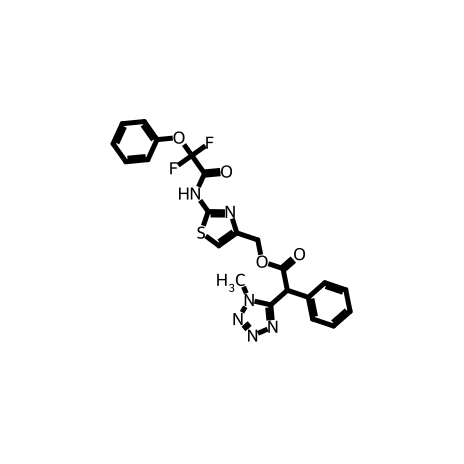 Cn1nnnc1C(C(=O)OCc1csc(NC(=O)C(F)(F)Oc2ccccc2)n1)c1ccccc1